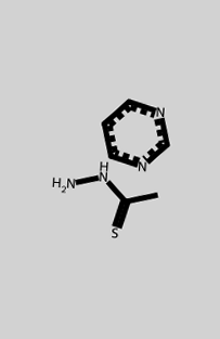 CC(=S)NN.c1cncnc1